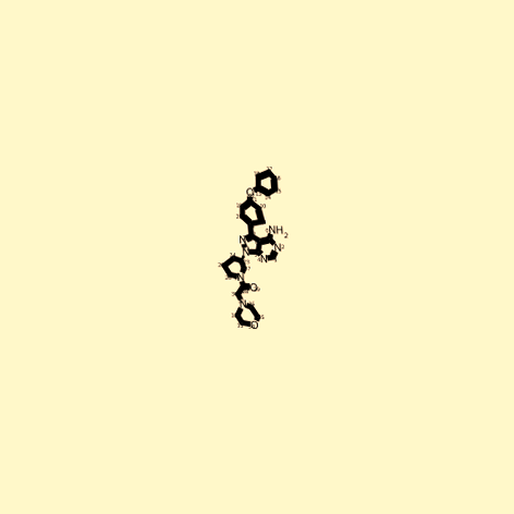 Nc1ncnc2c1c(-c1ccc(Oc3ccccc3)cc1)nn2[C@@H]1CCCN(C(=O)CN2CCOCC2)C1